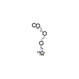 C(=C\c1nnn[nH]1)/c1ccc(CCc2cccc(OCc3ccc4ccccc4n3)c2)cc1